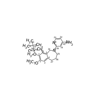 COc1cc2c(cc1O[Si](C)(C)C(C)(C)C)CN(c1cc(N)ccn1)CCC2